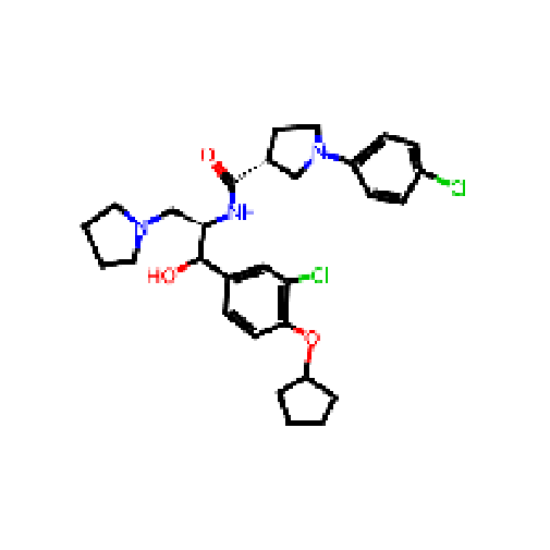 O=C(N[C@H](CN1CCCC1)C(O)c1ccc(OC2CCCC2)c(Cl)c1)[C@@H]1CCN(c2ccc(Cl)cc2)C1